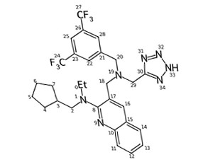 CCN(CC1CCCC1)c1nc2ccccc2cc1CN(Cc1cc(C(F)(F)F)cc(C(F)(F)F)c1)Cc1nn[nH]n1